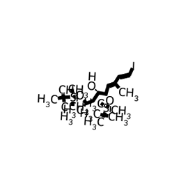 CC(/C=C/I)=C\[C@H](O[Si](C)(C)C(C)(C)C)[C@@H](O)C[C@@H](C)O[Si](C)(C)C(C)(C)C